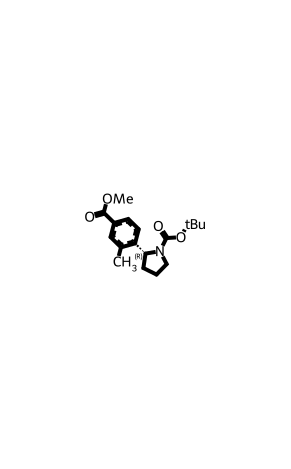 COC(=O)c1ccc([C@H]2CCCN2C(=O)OC(C)(C)C)c(C)c1